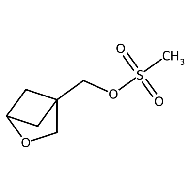 CS(=O)(=O)OCC12COC(C1)C2